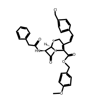 COc1ccc(COC(=O)C2=C(/C=C\c3ccc(CCl)cc3)CS[C@@H]3[C@H](NC(=O)Cc4ccccc4)C(=O)N23)cc1